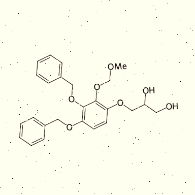 COCOc1c(OCC(O)CO)ccc(OCc2ccccc2)c1OCc1ccccc1